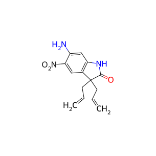 C=CCC1(CC=C)C(=O)Nc2cc(N)c([N+](=O)[O-])cc21